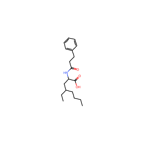 CCCCC(CC)CC(NC(=O)CCc1ccccc1)C(=O)O